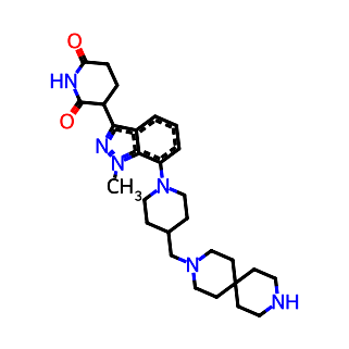 Cn1nc(C2CCC(=O)NC2=O)c2cccc(N3CCC(CN4CCC5(CCNCC5)CC4)CC3)c21